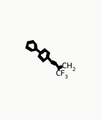 C=C(C#Cc1ccc(-c2ccccc2)cc1)C(F)(F)F